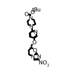 CC(C)(C)OC(=O)N1CCN(c2ccc(OC[C@@H]3CCn4cc([N+](=O)[O-])nc4O3)cn2)CC1